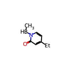 CBn1ccc(CC)cc1=O